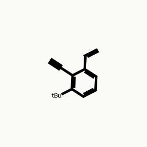 C#Cc1c([C]=C)cccc1C(C)(C)C